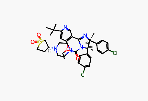 CCOc1cc(C(C)(C)C)ncc1C1=N[C@@](C)(c2ccc(Cl)cc2)[C@@](C)(c2ccc(Cl)cc2)N1C(=O)N1CCN([C@@H]2CCS(=O)(=O)C2)CC1